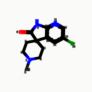 CC(=O)N1CCC2(CC1)C(=O)Nc1ncc(Br)cc12